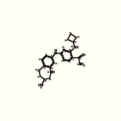 NC(=O)c1cnc(Nc2ccc3c(c2)NCC(O)CO3)nc1NC1CCC1